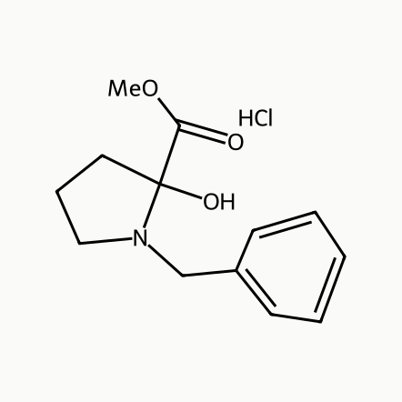 COC(=O)C1(O)CCCN1Cc1ccccc1.Cl